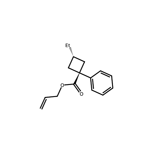 C=CCOC(=O)[C@]1(c2ccccc2)C[C@@H](CC)C1